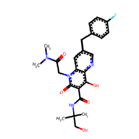 CN(C)C(=O)Cn1c(=O)c(C(=O)NC(C)(C)CO)c(O)c2ncc(Cc3ccc(F)cc3)cc21